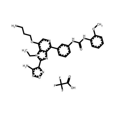 CCn1c(-c2nonc2N)nc2c(-c3cccc(NC(=O)Nc4ccccc4OC)c3)ncc(OCCCN)c21.O=C(O)C(F)(F)F